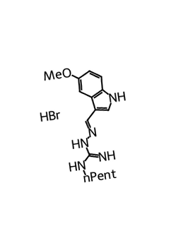 Br.CCCCCNC(=N)N/N=C/c1c[nH]c2ccc(OC)cc12